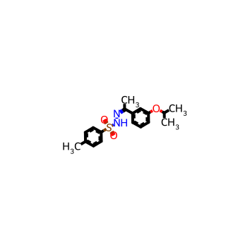 C/C(=N/NS(=O)(=O)c1ccc(C)cc1)c1cccc(OC(C)C)c1